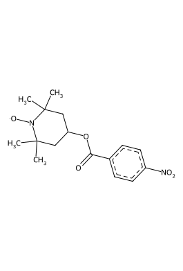 CC1(C)CC(OC(=O)c2ccc([N+](=O)[O-])cc2)CC(C)(C)N1[O]